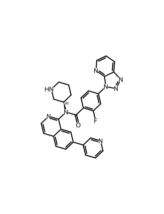 O=C(c1ccc(-n2nnc3cccnc32)cc1F)N(c1nccc2ccc(-c3cccnc3)cc12)[C@@H]1CCCNC1